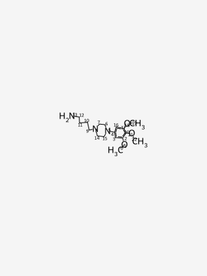 COc1cc(N2CCN(CCCCN)CC2)cc(OC)c1OC